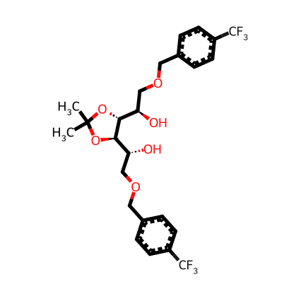 CC1(C)O[C@H]([C@H](O)COCc2ccc(C(F)(F)F)cc2)[C@@H]([C@H](O)COCc2ccc(C(F)(F)F)cc2)O1